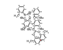 Cc1ccccc1OP(Oc1ccccc1C)Oc1c(-c2c(OP(Oc3ccccc3C)Oc3ccccc3C)c(C(C)(C)C)cc(C(C)(C)C)c2C(C)(C)C)cc(C(C)(C)C)cc1C(C)(C)C